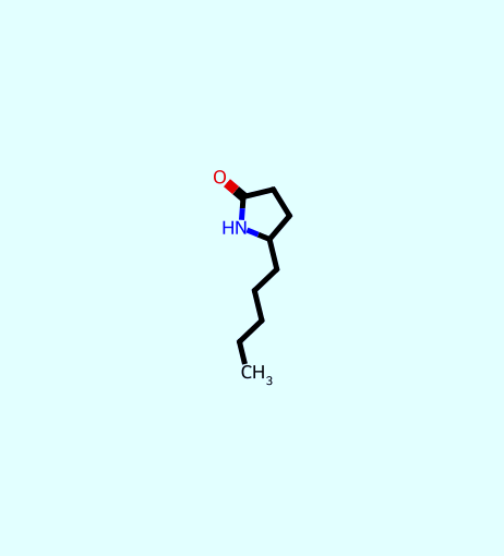 CCCCCC1CCC(=O)N1